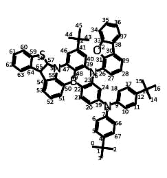 CC(C)(C)c1ccc(N(c2ccc(C(C)(C)C)cc2)c2ccc3c(c2)N(c2cccc4c2oc2ccccc24)c2cc(C(C)(C)C)cc4c2B3c2cccc3c2N4C2Sc4ccccc4C32)cc1